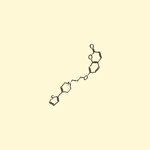 O=c1ccc2ccc(OCCCN3CC=C(c4cccs4)CC3)cc2o1